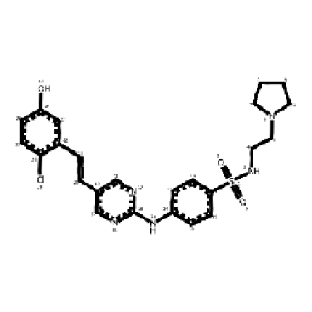 O=S(=O)(NCCN1CCCC1)c1ccc(Nc2ncc(C=Cc3cc(O)ccc3Cl)cn2)cc1